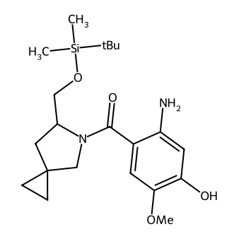 COc1cc(C(=O)N2CC3(CC3)CC2CO[Si](C)(C)C(C)(C)C)c(N)cc1O